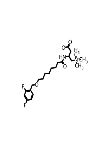 C[N+](C)(C)CC(CC(=O)[O-])NC(=O)CCCCCCCOCc1ccc(F)cc1F